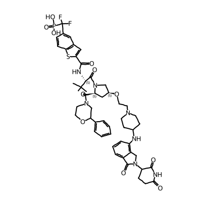 CC(C)(C)[C@H](NC(=O)c1cc2cc(C(F)(F)P(=O)(O)O)ccc2s1)C(=O)N1C[C@@H](OCCN2CCC(Nc3cccc4c3CN(C3CCC(=O)NC3=O)C4=O)CC2)C[C@H]1C(=O)N1CCOC(c2ccccc2)C1